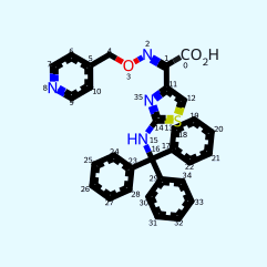 O=C(O)C(=NOCc1ccncc1)c1csc(NC(c2ccccc2)(c2ccccc2)c2ccccc2)n1